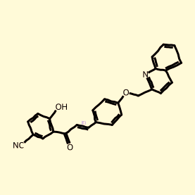 N#Cc1ccc(O)c(C(=O)/C=C/c2ccc(OCc3ccc4ccccc4n3)cc2)c1